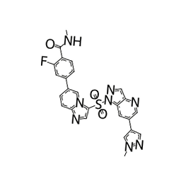 CNC(=O)c1ccc(-c2ccc3ncc(S(=O)(=O)n4ncc5ncc(-c6cnn(C)c6)cc54)n3c2)cc1F